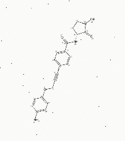 Nc1ccc(OCC#Cc2ccc(C(=O)N[C@@H]3CCN(O)C3=O)cc2)cc1